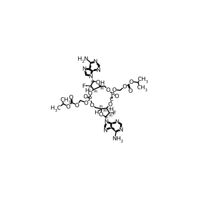 CC(C)OC(=O)OCOP1(=O)CO[C@H]2[C@@H](F)[C@H](n3cnc4c(N)ncnc43)O[C@@H]2COP(=O)(OCOC(=O)OC(C)C)O[C@H]2[C@@H](F)[C@H](n3cnc4c(N)ncnc43)O[C@@H]2CO1